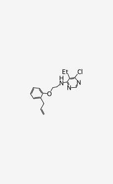 C=CCc1ccccc1OCCNc1ncnc(Cl)c1CC